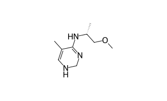 COC[C@@H](C)NC1=NCNC=C1C